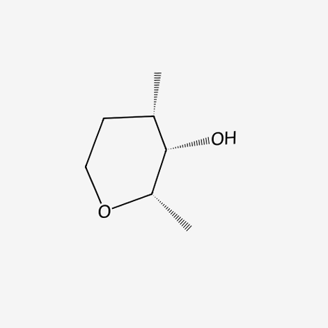 C[C@@H]1OCC[C@H](C)[C@@H]1O